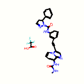 CNC(=O)Nc1cccn2c(C#Cc3cccc(NC(=O)N4N=CCC4c4ccccc4)c3)cnc12.O=C(O)C(F)(F)F